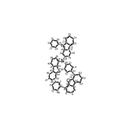 c1ccc(-c2cccc3c2oc2c(-c4ccc(N(c5ccc6c7ccccc7n(-c7ccccc7)c6c5)c5cccc6c5sc5ccccc56)cc4)cccc23)cc1